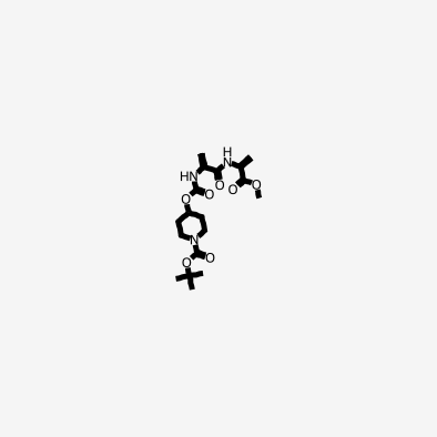 C=C(NC(=O)OC1CCN(C(=O)OC(C)(C)C)CC1)C(=O)NC(=C)C(=O)OC